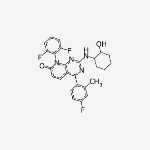 Cc1cc(F)ccc1-c1nc(NC2CCCCC2O)nc2c1ccc(=O)n2-c1c(F)cccc1F